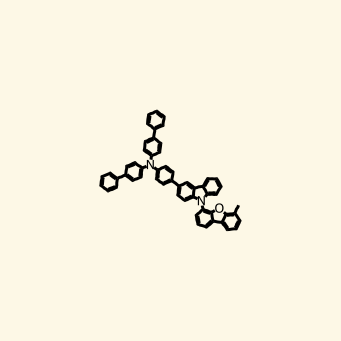 Cc1cccc2c1oc1c(-n3c4ccccc4c4cc(-c5ccc(N(c6ccc(-c7ccccc7)cc6)c6ccc(-c7ccccc7)cc6)cc5)ccc43)cccc12